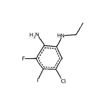 CCNc1cc(Cl)c(I)c(F)c1N